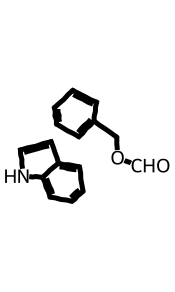 O=COCc1ccccc1.c1ccc2[nH]ccc2c1